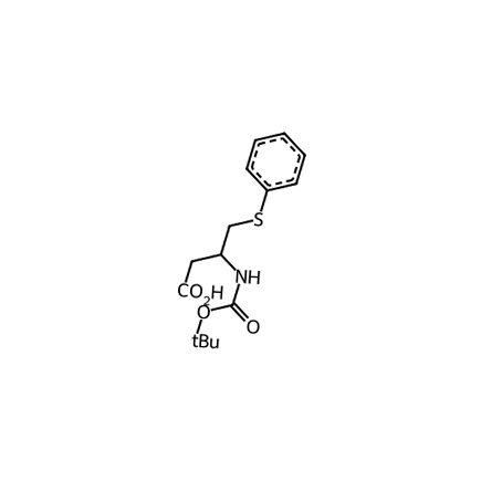 CC(C)(C)OC(=O)NC(CSc1ccccc1)CC(=O)O